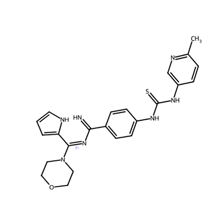 Cc1ccc(NC(=S)Nc2ccc(C(=N)/N=C(\c3ccc[nH]3)N3CCOCC3)cc2)cn1